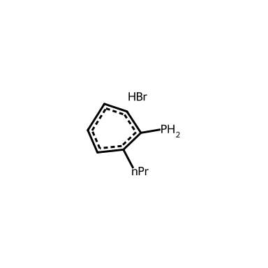 Br.CCCc1ccccc1P